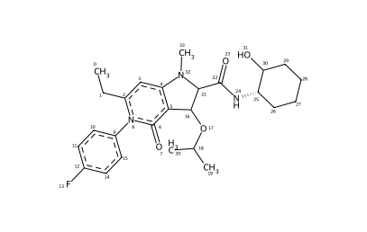 CCc1cc2c(c(=O)n1-c1ccc(F)cc1)C(OC(C)C)C(C(=O)N[C@H]1CCCCC1O)N2C